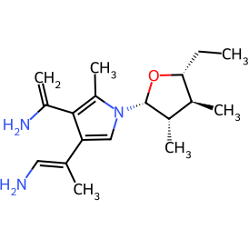 C=C(N)c1c(/C(C)=C/N)cn([C@@H]2O[C@H](CC)[C@@H](C)[C@@H]2C)c1C